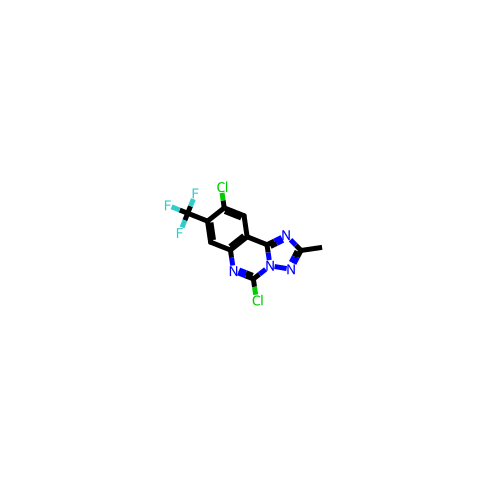 Cc1nc2c3cc(Cl)c(C(F)(F)F)cc3nc(Cl)n2n1